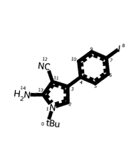 CC(C)(C)n1cc(-c2ccc(I)cc2)c(C#N)c1N